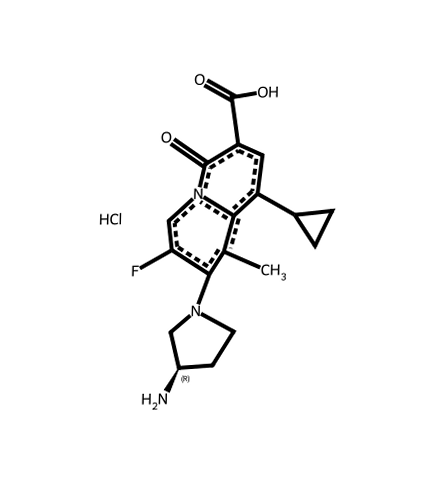 Cc1c(N2CC[C@@H](N)C2)c(F)cn2c(=O)c(C(=O)O)cc(C3CC3)c12.Cl